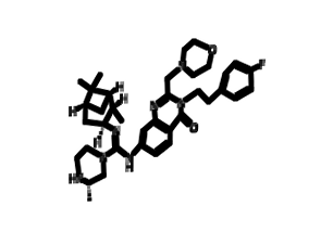 C[C@@H]1[C@@H](N=C(Nc2ccc3c(=O)n(CCc4ccc(F)cc4)c(CN4CCOCC4)nc3c2)N2CCN[C@@H](C)C2)C[C@H]2C[C@@H]1C2(C)C